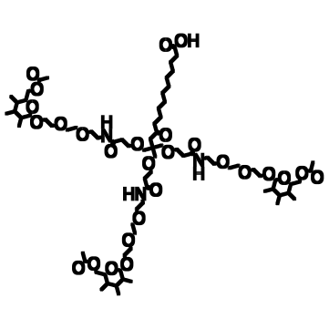 CC(=O)OCC1OC(OCCOCCOCCNC(=O)CCOCC(COCCC(=O)NCCOCCOCCOC2OC(COC(C)=O)C(C)C(C)C2C)(COCCC(=O)NCCOCCOCCOC2OC(COC(C)=O)C(C)C(C)C2C)CC(=O)CCCCCCCCCCC(=O)O)C(C)C(C)C1C